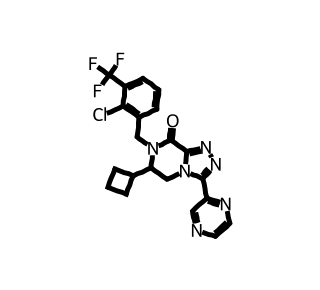 O=C1c2nnc(-c3cnccn3)n2CC(C2CCC2)N1Cc1cccc(C(F)(F)F)c1Cl